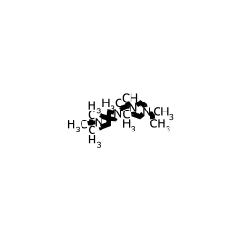 CC(C)N1CCN(C(C)C(C)(C)N2CC3(CCN(C(C)(C)C)C3)C2)CC1